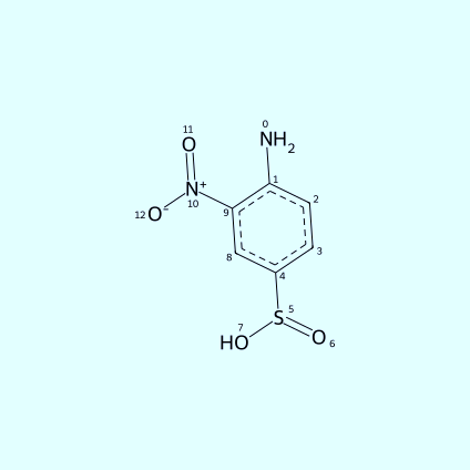 Nc1ccc(S(=O)O)cc1[N+](=O)[O-]